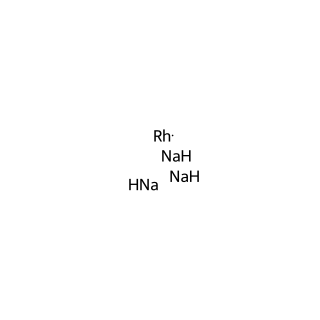 [NaH].[NaH].[NaH].[Rh]